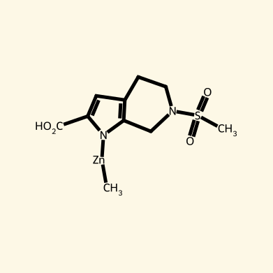 [CH3][Zn][n]1c(C(=O)O)cc2c1CN(S(C)(=O)=O)CC2